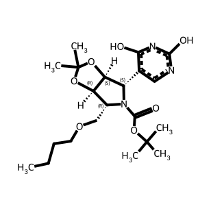 CCCCOC[C@@H]1[C@H]2OC(C)(C)O[C@H]2[C@H](c2cnc(O)nc2O)N1C(=O)OC(C)(C)C